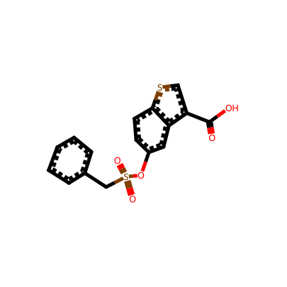 O=C(O)c1csc2ccc(OS(=O)(=O)Cc3ccccc3)cc12